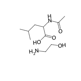 CC(=O)NC(CC(C)C)C(=O)O.NCCO